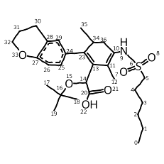 CCCCCCS(=O)(=O)NC1=C(C)C(C(OC(C)(C)C)C(=O)O)=C(c2ccc3c(c2)CCCO3)C(C)C1